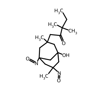 CCC(C)(C)C(=O)CC1(C)CC2(O)CC(C)(N=O)CC(N=O)(C1)C2